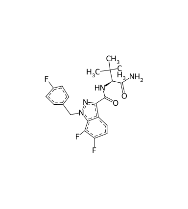 CC(C)(C)[C@H](NC(=O)c1nn(Cc2ccc(F)cc2)c2c(F)c(F)ccc12)C(N)=O